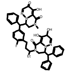 CCC(CCc1cc(C(c2ccccc2)C2CN(C)C(=O)c3c(O)c(=O)cnn32)ccc1F)N1CC(C(c2ccccc2)c2ccccc2)N2N=CC(O)C(O)=C2C1=O